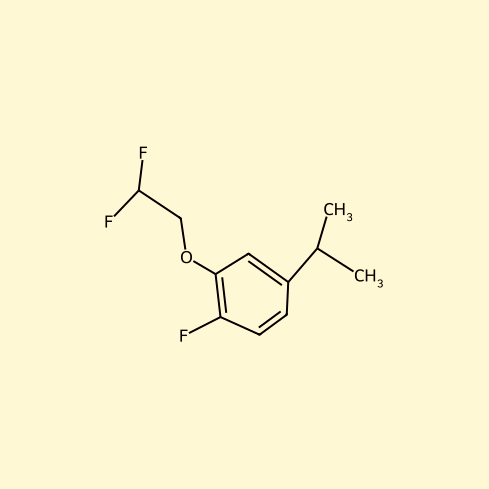 CC(C)c1ccc(F)c(OCC(F)F)c1